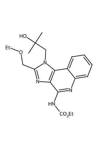 CCOCc1nc2c(NC(=O)OCC)nc3ccccc3c2n1CC(C)(C)O